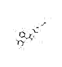 COc1nc(NCC(=O)OC(C)(C)C)ncc1-n1nc(C(=O)O)c(C(Nc2cc(Cl)cn(C)c2=O)c2ccc(C#N)cc2)c1C(C)C